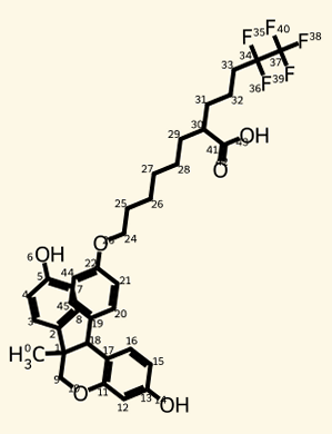 CC1(c2ccc(O)cc2)COc2cc(O)ccc2C1c1ccc(OCCCCCCC(CCCC(F)(F)C(F)(F)F)C(=O)O)cc1